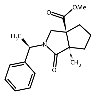 COC(=O)[C@@]12CCC[C@@]1(C)C(=O)N([C@H](C)c1ccccc1)C2